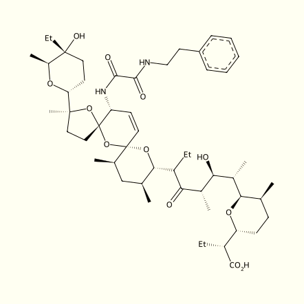 CCC(C(=O)[C@@H](C)[C@@H](O)[C@H](C)[C@@H]1O[C@@H]([C@@H](CC)C(=O)O)CC[C@@H]1C)[C@H]1O[C@]2(C=C[C@@H](NC(=O)C(=O)NCCc3ccccc3)[C@]3(CC[C@@](C)([C@H]4CC[C@](O)(CC)[C@H](C)O4)O3)O2)[C@H](C)C[C@@H]1C